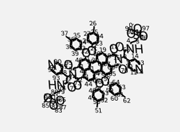 CO[Si](CCNC(=O)C(c1ccncc1)N1C(=O)c2cc(Oc3ccc(C)cc3)c3c4c(Oc5ccc(C)cc5)cc5c6c(cc(Oc7ccc(C)cc7)c(c7c(Oc8ccc(C)cc8)cc(c2c37)C1=O)c64)C(=O)N(C(C(=O)NCC[Si](OC)(OC)OC)c1ccncc1)C5=O)(OC)OC